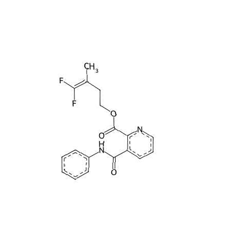 CC(CCOC(=O)c1ncccc1C(=O)Nc1ccccc1)=C(F)F